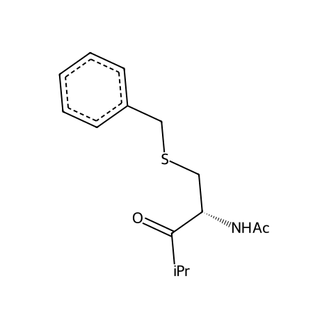 CC(=O)N[C@@H](CSCc1ccccc1)C(=O)C(C)C